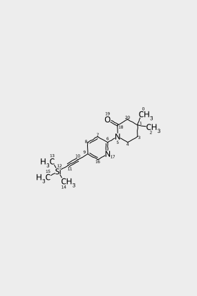 CC1(C)CCN(c2ccc(C#C[Si](C)(C)C)cn2)C(=O)C1